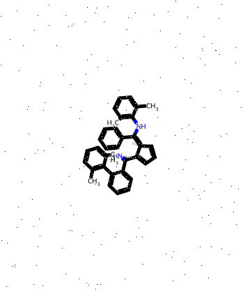 Cc1cccc(C)c1N/C(=C1\C=CC=C1C(=N)c1ccccc1-c1c(C)cccc1C)c1ccccc1